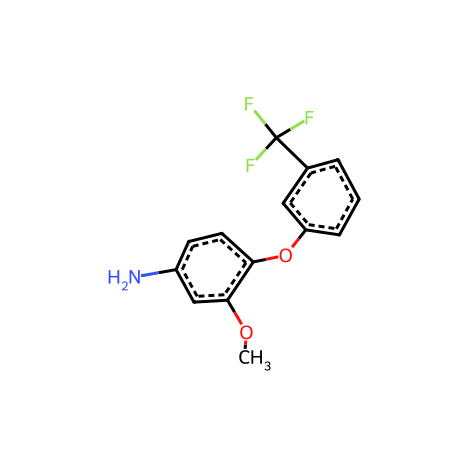 COc1cc(N)ccc1Oc1cccc(C(F)(F)F)c1